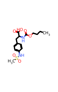 CCCCOC(=O)NC(Cc1ccc(NS(C)(=O)=O)cc1)C(=O)O